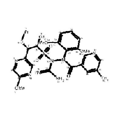 COc1cnc([C@@H](OC(C)C)[C@@H](C)S(=O)(=O)N(C(=N)N)N(C(=O)c2cncc(C)c2)c2c(OC)cccc2OC)cn1